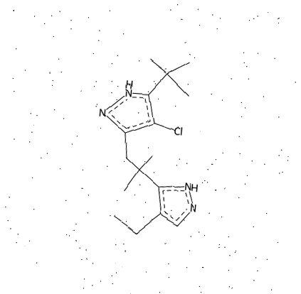 CCc1cn[nH]c1C(C)(C)Cc1n[nH]c(C(C)(C)C)c1Cl